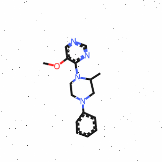 COc1cncnc1N1CCN(c2ccccc2)CC1C